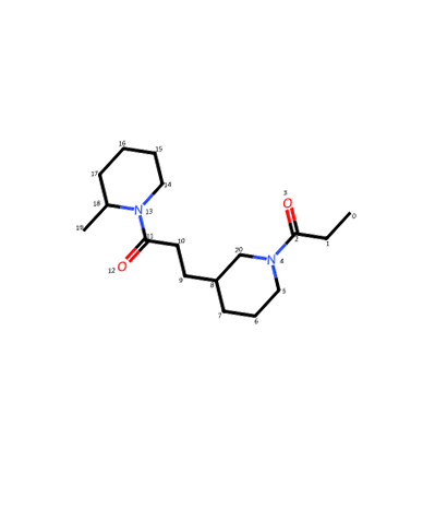 CCC(=O)N1CCCC(CCC(=O)N2CCCCC2C)C1